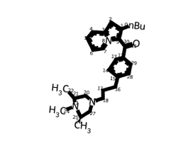 CCCCc1cc2ccccn2c1C(=O)c1ccc(CCCN2CC(C)N(C)[C@@H](C)C2)cc1